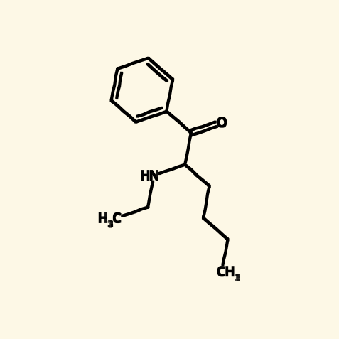 CCCCC(NCC)C(=O)c1ccccc1